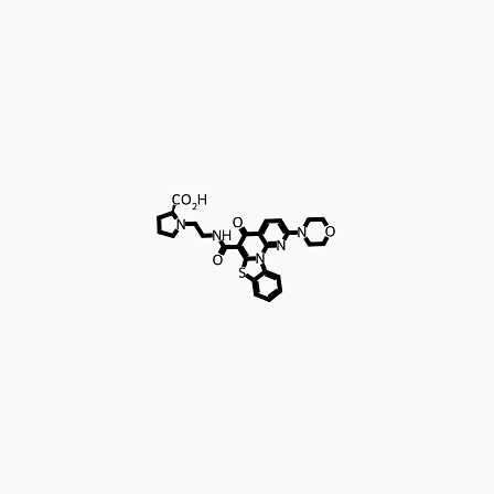 O=C(NCCN1CCC[C@H]1C(=O)O)c1c(=O)c2ccc(N3CCOCC3)nc2n2c1sc1ccccc12